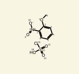 COc1ccccc1[N+](=O)[O-].O=S(=O)(O)Cl